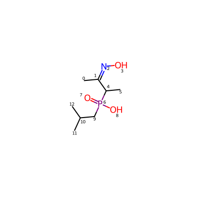 CC(=NO)C(C)P(=O)(O)CC(C)C